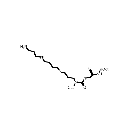 CCCCCCCCNC(=O)CNC(=O)N(CCCCCCCC)CCCNCCCCNCCCN